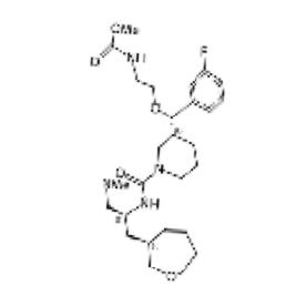 CNC[C@H](C[C@H]1CCCCOC1)NC(=O)N1CCC[C@@H](C(OCCNC(=O)OC)c2cccc(F)c2)C1